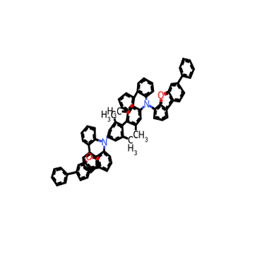 Cc1cc(N(c2ccccc2-c2ccccc2)c2cccc3c2oc2cc(-c4ccccc4)ccc23)cc(C)c1-c1c(C)cc(N(c2ccccc2-c2ccccc2)c2cccc3c2oc2cc(-c4ccccc4)ccc23)cc1C